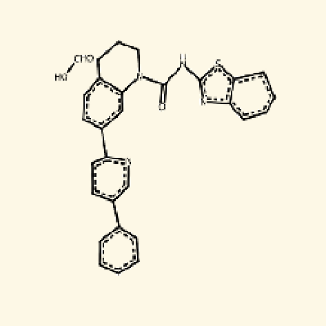 O=C(Nc1nc2ccccc2s1)N1CCCc2ccc(-c3ccc(-c4ccccc4)cn3)cc21.O=CO